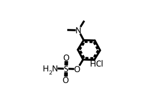 CN(C)c1cccc(OS(N)(=O)=O)c1.Cl